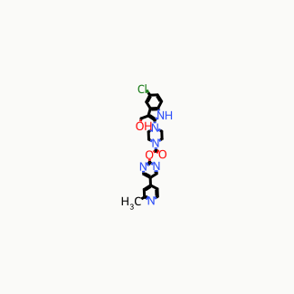 Cc1cc(-c2cnc(OC(=O)N3CCN(c4[nH]c5ccc(Cl)cc5c4CO)CC3)nc2)ccn1